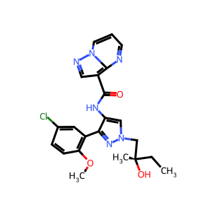 CC[C@](C)(O)Cn1cc(NC(=O)c2cnn3cccnc23)c(-c2cc(Cl)ccc2OC)n1